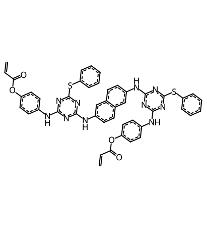 C=CC(=O)Oc1ccc(Nc2nc(Nc3ccc4cc(Nc5nc(Nc6ccc(OC(=O)C=C)cc6)nc(Sc6ccccc6)n5)ccc4c3)nc(Sc3ccccc3)n2)cc1